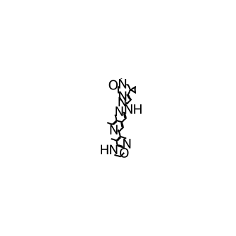 Cc1c(-c2cc3cc(Nc4cc5n(n4)CC(=O)N(C)CC54CC4)ncc3c(C)n2)cnc2c1NCCO2